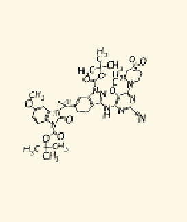 COc1ccc2c(c1)[C@]1(C[C@H]1c1ccc3c(Nc4nc(C#N)nc(N5CCS(=O)(=O)CC5)c4OC)nn(C(=O)OC(C)(C)C)c3c1)C(=O)N2C(=O)OC(C)(C)C